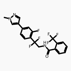 Cn1cc(-c2ccc(C(F)(F)CNC(=O)c3ccccc3C(F)(F)F)c(F)c2)cn1